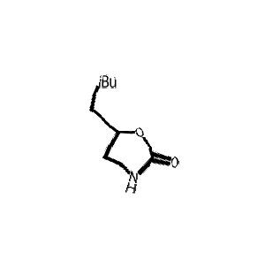 CCC(C)CC1CNC(=O)O1